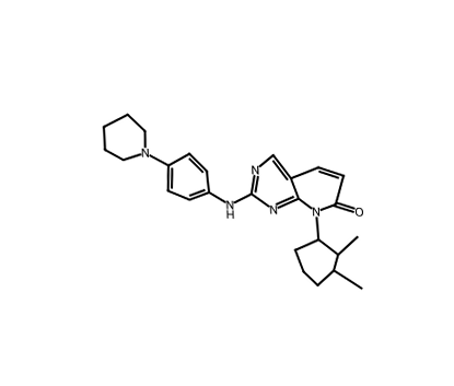 CC1CCCC(n2c(=O)ccc3cnc(Nc4ccc(N5CCCCC5)cc4)nc32)C1C